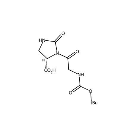 CC(C)(C)OC(=O)NCC(=O)N1C(=O)NC[C@H]1C(=O)O